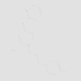 Cl.Fc1ccc(OCCN2CCC(Cc3ccccc3F)CC2)cc1